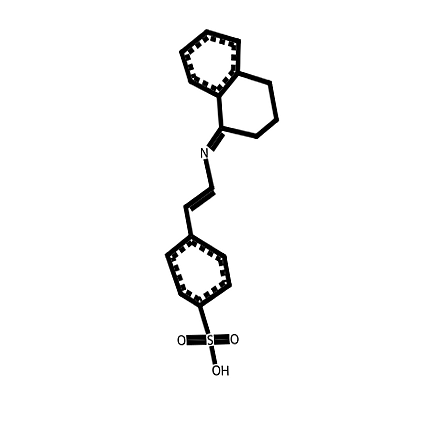 O=S(=O)(O)c1ccc(C=CN=C2CCCc3ccccc32)cc1